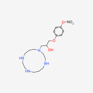 O=[N+]([O-])Oc1ccc(OCC(O)CN2CCCNCCNCCCNCC2)cc1